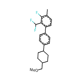 COCC1CCC(c2ccc(-c3ccc(C)c(F)c3C(F)F)cc2)CC1